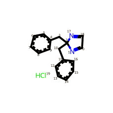 C1=NC(Cc2ccccc2)(Cc2ccccc2)N=C1.Cl